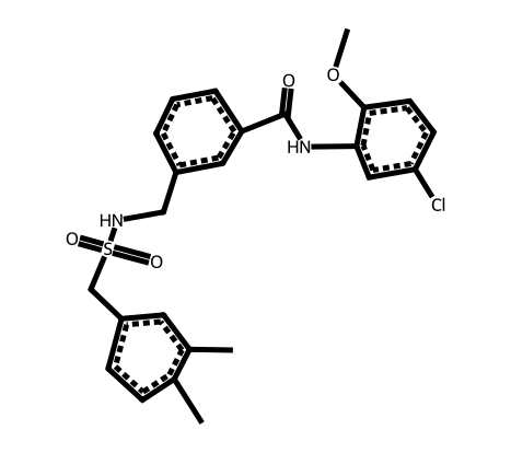 COc1ccc(Cl)cc1NC(=O)c1cccc(CNS(=O)(=O)Cc2ccc(C)c(C)c2)c1